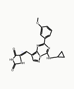 COc1cccc(-c2nc(NC3CC3)n3ncc(/C=C4\NC(=O)NC4=O)c3n2)c1